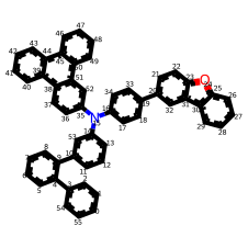 c1ccc(-c2ccccc2-c2cccc(N(c3ccc(-c4ccc5oc6ccccc6c5c4)cc3)c3ccc4c5ccccc5c5ccccc5c4c3)c2)cc1